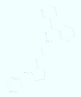 O=C(NCCCC1CCCN1Cc1ccccc1)C(c1ccccc1)c1ccccc1